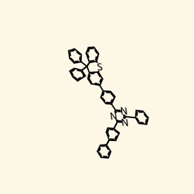 c1ccc(-c2ccc(-c3nc(-c4ccccc4)nc(-c4ccc(-c5ccc6c(c5)Sc5ccccc5C6(c5ccccc5)c5ccccc5)cc4)n3)cc2)cc1